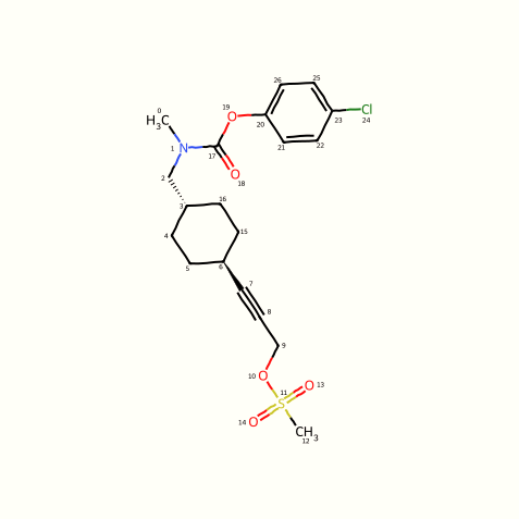 CN(C[C@H]1CC[C@H](C#CCOS(C)(=O)=O)CC1)C(=O)Oc1ccc(Cl)cc1